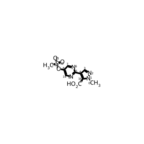 Cn1ncc(-c2ncc(OS(C)(=O)=O)cn2)c1C(=O)O